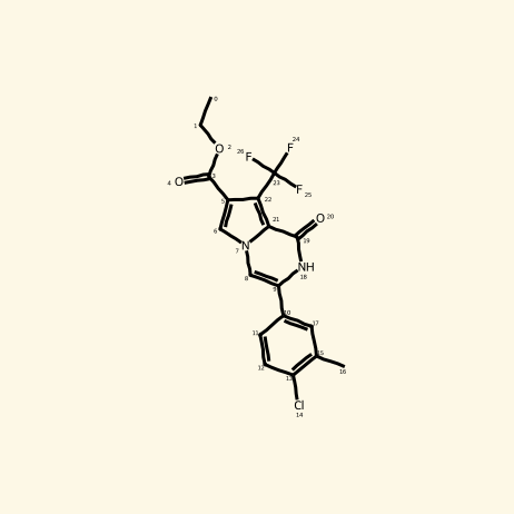 CCOC(=O)c1cn2cc(-c3ccc(Cl)c(C)c3)[nH]c(=O)c2c1C(F)(F)F